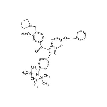 COc1cc(C(=O)c2c(-c3ccc(N([Si](C)(C)C)[Si](C)(C)C)cc3)sc3cc(OCc4ccccc4)ccc23)ccc1CN1CCCC1